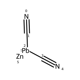 N#[C][Pb][C]#N.[Zn]